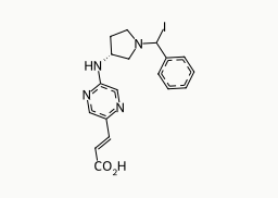 O=C(O)C=Cc1cnc(N[C@@H]2CCN(C(I)c3ccccc3)C2)cn1